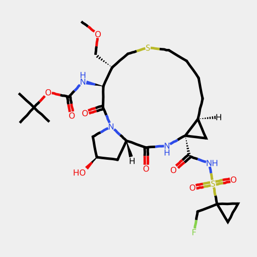 COC[C@@H]1CSCCCC[C@H]2C[C@@]2(C(=O)NS(=O)(=O)C2(CF)CC2)NC(=O)[C@@H]2C[C@@H](O)CN2C(=O)[C@H]1NC(=O)OC(C)(C)C